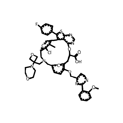 COc1ccccc1-c1nccc(COc2ccc3cc2CC(C(=O)O)Oc2ncnc4sc(-c5ccc(F)cc5)c(c24)-c2ccc(c(Cl)c2C)CN(CC2(N4CCOCC4)COC2)C3)n1